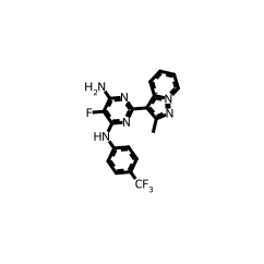 Cc1nn2ccccc2c1-c1nc(N)c(F)c(Nc2ccc(C(F)(F)F)cc2)n1